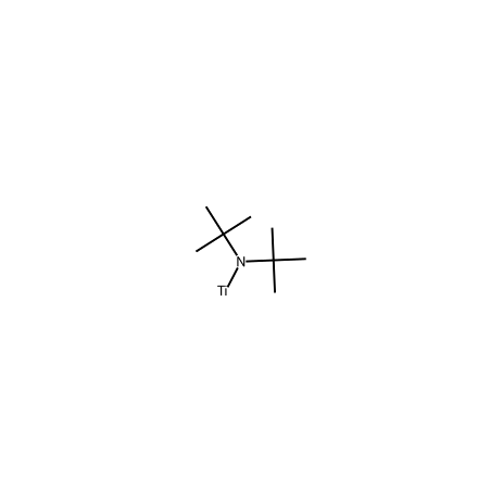 CC(C)(C)[N]([Ti])C(C)(C)C